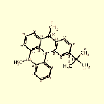 CN1c2ccccc2B2c3cc(C(C)(C)C)ccc3N(C)c3cccc1c32